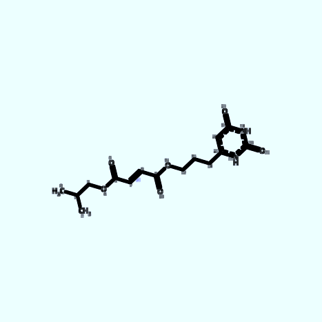 CC(C)COC(=O)/C=C/C(=O)OCCCc1cc(=O)[nH]c(=O)[nH]1